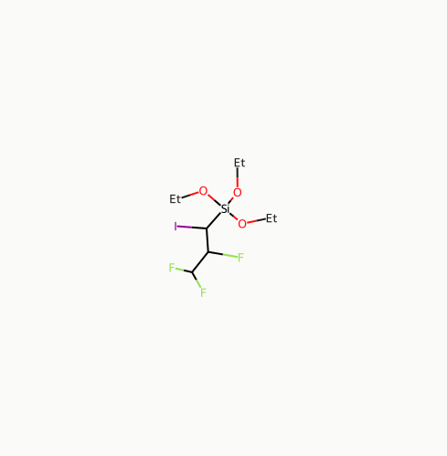 CCO[Si](OCC)(OCC)C(I)C(F)C(F)F